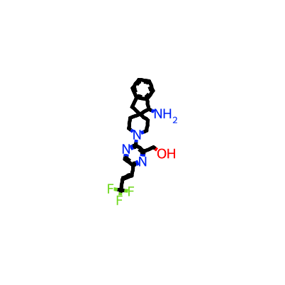 NC1c2ccccc2CC12CCN(c1ncc(C=CC(F)(F)F)nc1CO)CC2